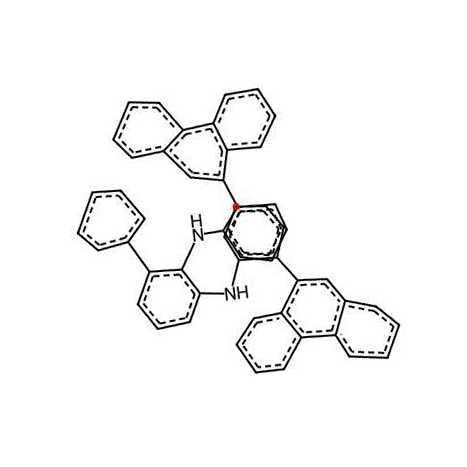 c1ccc(-c2cccc(Nc3ccccc3-c3cc4ccccc4c4ccccc34)c2Nc2ccccc2-c2cc3ccccc3c3ccccc23)cc1